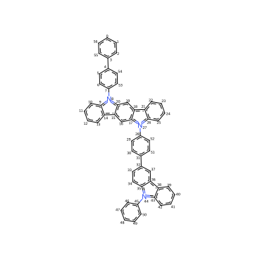 c1ccc(-c2ccc(-n3c4ccccc4c4cc5c(cc43)c3ccccc3n5-c3ccc(-c4ccc5c(c4)c4ccccc4n5-c4ccccc4)cc3)cc2)cc1